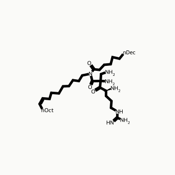 CCCCCCCC/C=C\CCCCCCCCN(C(=O)CCCCCCCCCCCCCCC)C(=O)C(N)(CN)C(=O)[C@@H](N)CCCNC(=N)N